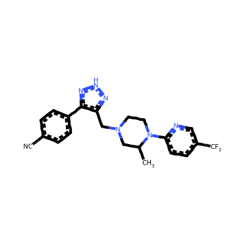 CC1CN(Cc2n[nH]nc2-c2ccc(C#N)cc2)CCN1c1ccc(C(F)(F)F)cn1